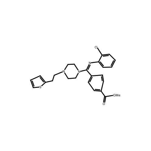 COC(=O)c1ccc(C(=Nc2ccccc2Cl)N2CCN(CCc3cccs3)CC2)cc1